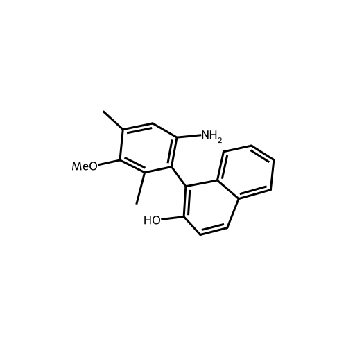 COc1c(C)cc(N)c(-c2c(O)ccc3ccccc23)c1C